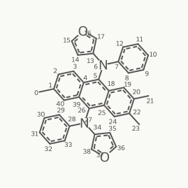 Cc1ccc2c(N(c3ccccc3)c3ccoc3)c3cc(C)c(C)cc3c(N(c3ccccc3)c3ccoc3)c2c1